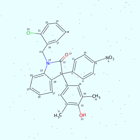 Cc1cc(C2(c3ccc([N+](=O)[O-])cc3)C(=O)N(Cc3ccccc3Cl)c3ccccc32)cc(C)c1O